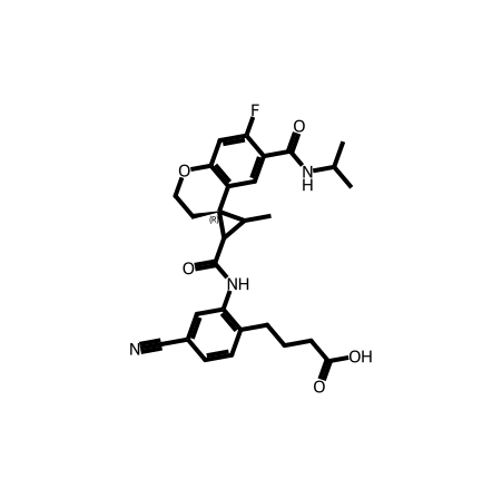 CC(C)NC(=O)c1cc2c(cc1F)OCC[C@]21C(C)C1C(=O)Nc1cc(C#N)ccc1CCCC(=O)O